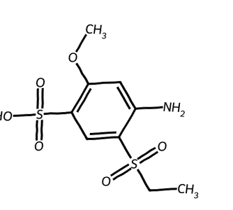 CCS(=O)(=O)c1cc(S(=O)(=O)O)c(OC)cc1N